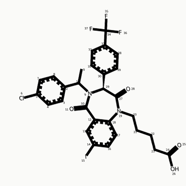 CC(c1ccc(Cl)cc1)N1C(=O)c2cc(I)ccc2N(CCCCC(=O)O)C(=O)[C@@H]1c1ccc(C(F)(F)F)cc1